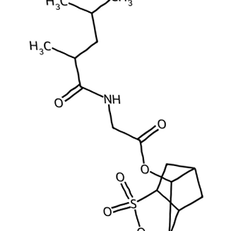 CC(C)CC(C)C(=O)NCC(=O)OC1C2CC3C1OS(=O)(=O)C3C2